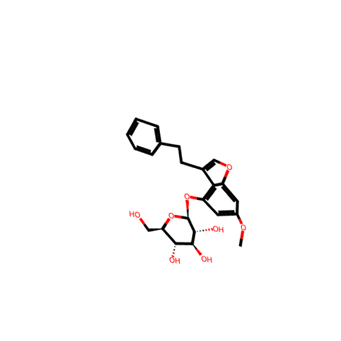 COc1cc(O[C@@H]2O[C@H](CO)[C@@H](O)[C@H](O)[C@H]2O)c2c(CCc3ccccc3)coc2c1